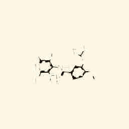 COc1ccc(C(=O)Nc2c(Cl)c(F)nc(F)c2Cl)cc1OC(F)F